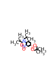 CC(C)CN(CC(C)C)c1ccc(B2OCC(C)(C)CO2)cc1[N+](=O)[O-]